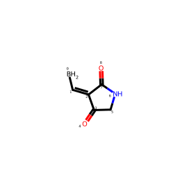 B/C=C1/C(=O)CNC1=O